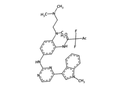 CC(=O)C(F)(F)C(=O)Nc1cc(Nc2nccc(-c3cn(C)c4ccccc34)n2)ccc1N(C)CCN(C)C